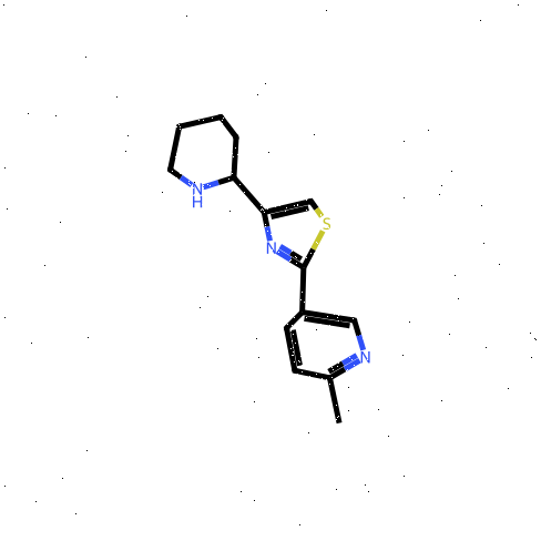 Cc1ccc(-c2nc(C3CCCCN3)cs2)cn1